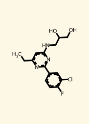 CCc1cc(NCC(O)CO)nc(-c2ccc(F)c(Cl)c2)n1